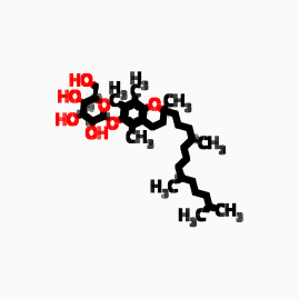 Cc1c(C)c2c(c(C)c1O[C@H]1O[C@H](CO)[C@@H](O)[C@H](O)[C@@H]1O)CC[C@@](C)(CCC[C@H](C)CCC[C@H](C)CCCC(C)C)O2